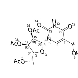 CC(=O)OC[C@H]1O[C@@H](n2cc(CO)c(=O)[nH]c2=O)[C@H](OC(C)=O)[C@@H]1OC(C)=O